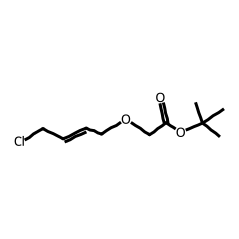 CC(C)(C)OC(=O)COCC=CCCl